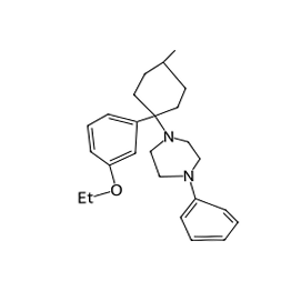 CCOc1cccc(C2(N3CCN(c4ccccc4)CC3)CCC(C)CC2)c1